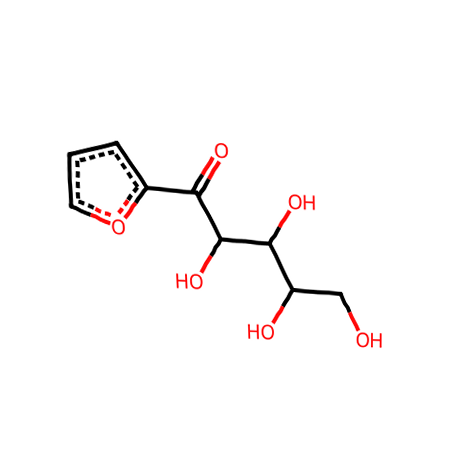 O=C(c1ccco1)C(O)C(O)C(O)CO